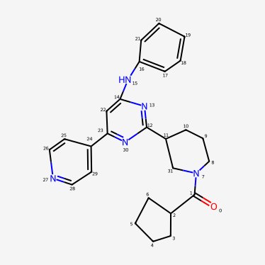 O=C(C1CCCC1)N1CCCC(c2nc(Nc3ccccc3)cc(-c3ccncc3)n2)C1